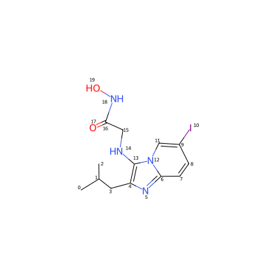 CC(C)Cc1nc2ccc(I)cn2c1NCC(=O)NO